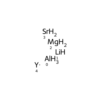 [AlH3].[LiH].[MgH2].[SrH2].[Y]